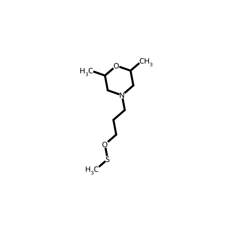 CSOCCCN1CC(C)OC(C)C1